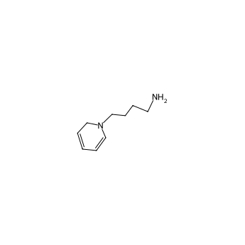 NCCCCN1C=CC=CC1